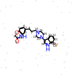 O=C1COc2ccc(CCCN3CCN(c4c[nH]c5c(Br)cccc45)CC3)cc2N1